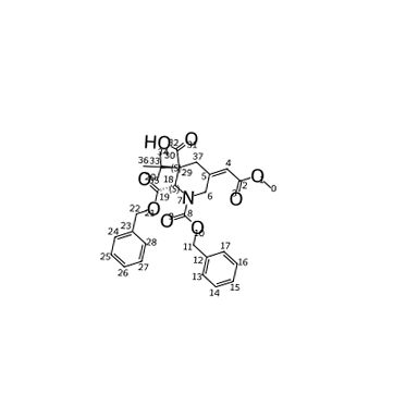 COC(=O)C=C1CN(C(=O)OCc2ccccc2)[C@H](C(=O)OCc2ccccc2)[C@@](C(=O)O)(C(C)(C)C)C1